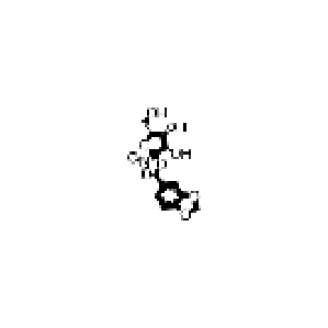 O=[N+]([O-])C1(OCc2ccc3c(c2)OCO3)O[C@H](CO)[C@@H](O)[C@H]1O